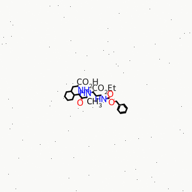 CCOC(=O)C(CCNC(=O)OCc1ccccc1)N[C@@H](C)C(=O)C1NC(C(=O)O)CC2CCCCC21